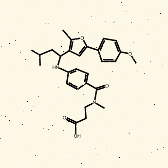 COc1ccc(-c2cc(C(CC(C)C)Nc3ccc(C(=O)N(C)CCC(=O)O)cc3)c(C)o2)cc1